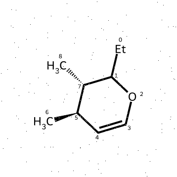 CCC1OC=C[C@@H](C)[C@@H]1C